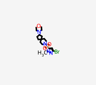 Cn1nc(Br)cc1S(=O)(=O)N1CCC2(CCC(N3CCOCC3)C2)CC1